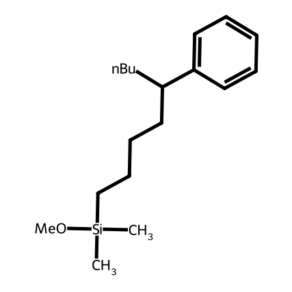 CCCCC(CCCC[Si](C)(C)OC)c1ccccc1